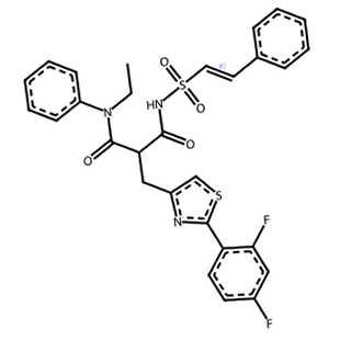 CCN(C(=O)C(Cc1csc(-c2ccc(F)cc2F)n1)C(=O)NS(=O)(=O)/C=C/c1ccccc1)c1ccccc1